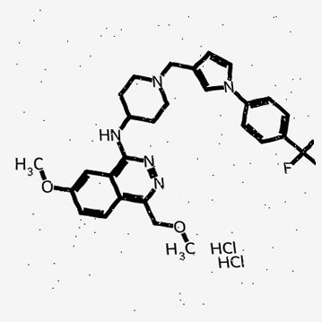 COCc1nnc(NC2CCN(Cc3ccn(-c4ccc(C(F)(F)F)cc4)c3)CC2)c2cc(OC)ccc12.Cl.Cl